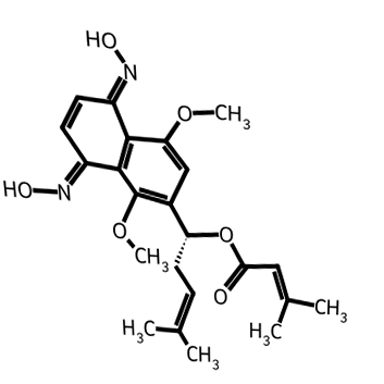 COc1cc([C@@H](CC=C(C)C)OC(=O)C=C(C)C)c(OC)c2c1/C(=N/O)C=C/C2=N\O